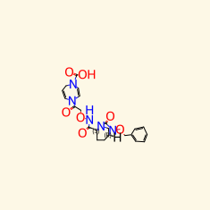 O=C(NOCC(=O)N1C=CCN(C(=O)O)C=C1)[C@@H]1CC[C@@H]2CN1C(=O)N2OCc1ccccc1